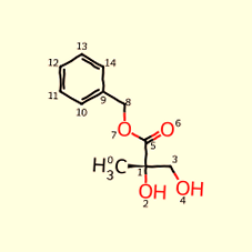 C[C@](O)(CO)C(=O)OCc1ccccc1